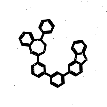 c1ccc(C2CCC(c3cccc(-c4cccc(-c5ccc6sc7ccccc7c6c5)c4)c3)=Nc3ccccc32)cc1